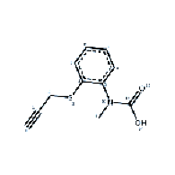 C#CCSc1ccccc1N(C)C(=O)O